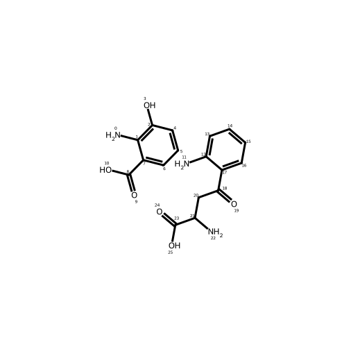 Nc1c(O)cccc1C(=O)O.Nc1ccccc1C(=O)CC(N)C(=O)O